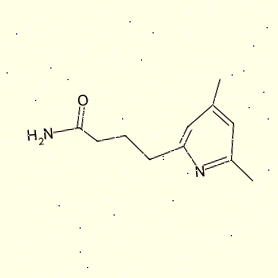 Cc1cc(C)nc(CCCC(N)=O)c1